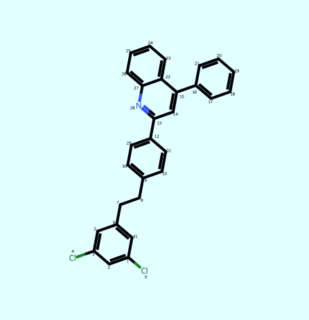 Clc1cc(Cl)cc(CCc2ccc(-c3cc(-c4ccccc4)c4ccccc4n3)cc2)c1